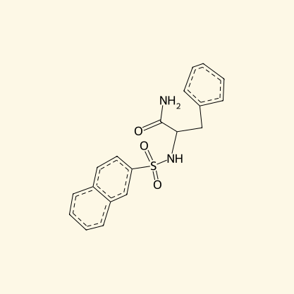 NC(=O)C(Cc1ccccc1)NS(=O)(=O)c1ccc2ccccc2c1